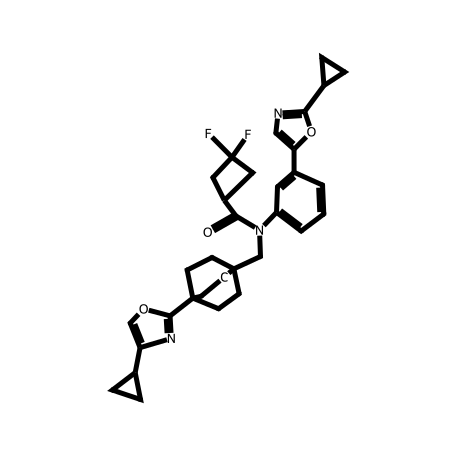 O=C(C1CC(F)(F)C1)N(CC12CCC(c3nc(C4CC4)co3)(CC1)CC2)c1cccc(-c2cnc(C3CC3)o2)c1